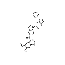 COc1cc2ncnc(Nc3ccc4c(c3)CCN4C(=O)Cc3c(-c4ccccc4)cnn3C)c2cc1OC